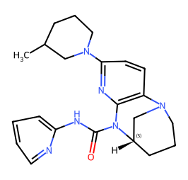 CC1CCCN(c2ccc3c(n2)N(C(=O)Nc2ccccn2)[C@H]2CCCN3C2)C1